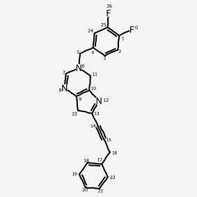 Fc1ccc(CN2C=NC3=C(C2)N=C(C#CCc2ccccc2)C3)cc1F